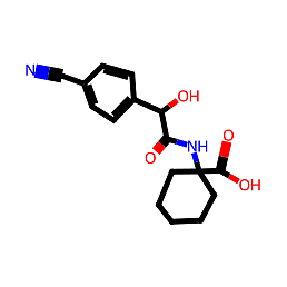 N#Cc1ccc(C(O)C(=O)NC2(C(=O)O)CCCCC2)cc1